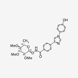 CO[C@@H]1[C@@H](OC)[C@H](C)O[C@@H](ONC(=O)c2ccc(-c3cn(-c4ccc(O)cc4)cn3)cc2)[C@@H]1OC